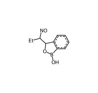 CCC(N=O)C1OB(O)c2ccccc21